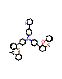 C[Si]1(C)c2ccccc2Sc2c(-c3ccc(N(c4ccc(-c5ccccn5)cc4)c4ccc(-c5cccc6c5Oc5ccccc5S6)cc4)cc3)cccc21